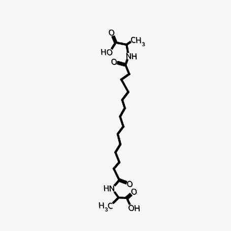 CC(NC(=O)CCCCCCCCCCCCC(=O)NC(C)C(=O)O)C(=O)O